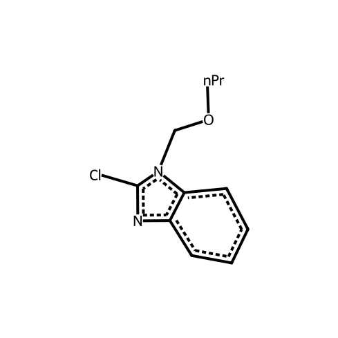 CCCOCn1c(Cl)nc2ccccc21